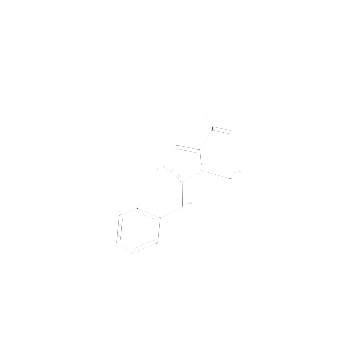 CCn1c(C(=O)O)cnc1[C@H](C)c1ccccc1